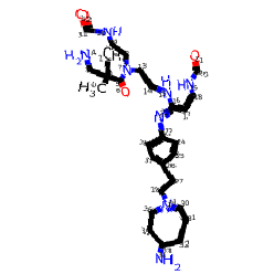 CC(C)(CN)C(=O)N(CCNC=O)CCNC(/C=C\NC=O)=N/c1ccc(CCN2CCCC(N)CC2)cc1